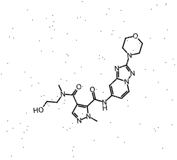 CN(CCO)C(=O)c1cnn(C)c1C(=O)Nc1ccn2nc(N3CCOCC3)nc2c1